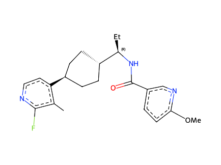 CC[C@@H](NC(=O)c1ccc(OC)nc1)[C@H]1CC[C@H](c2ccnc(F)c2C)CC1